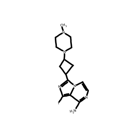 CN1CCN(C2CC(c3nc(I)c4c(N)nccn34)C2)CC1